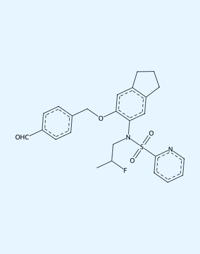 CC(F)CN(c1cc2c(cc1OCc1ccc(C=O)cc1)CCC2)S(=O)(=O)c1ccccn1